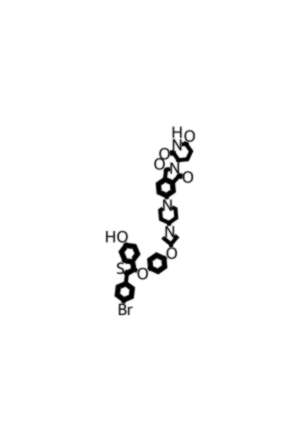 O=C1CCC(N2C(=O)c3ccc(N4CCC(N5CC(Oc6ccc(Oc7c(-c8ccc(Br)cc8)sc8cc(O)ccc78)cc6)C5)CC4)cc3C2=O)C(=O)N1